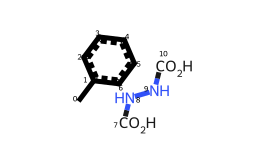 Cc1ccccc1.O=C(O)NNC(=O)O